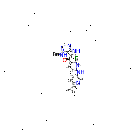 CC[C@H](C)Nc1ncnc2[nH]cc(C(=O)c3ccc(Nc4ccc(C5CC5)nc4)nc3F)c12